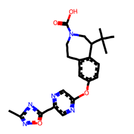 Cc1noc(-c2cnc(Oc3ccc4c(c3)CCN(C(=O)O)CC4C(C)(C)C)cn2)n1